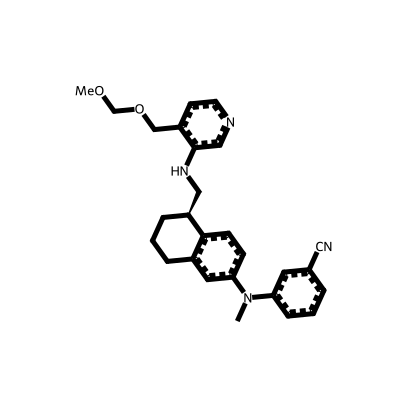 COCOCc1ccncc1NC[C@@H]1CCCc2cc(N(C)c3cccc(C#N)c3)ccc21